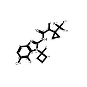 CC(C(=O)Nc1nc2ccc(Cl)c(F)c2n1C1(C)CCC1)C1(C(F)(F)F)CC1